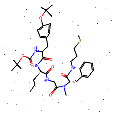 CCC[C@@H](NC(=O)[C@H](Cc1ccc(OC(C)(C)C)cc1)NC(=O)OC(C)(C)C)C(=O)NCC(=O)N(C)[C@@H](Cc1ccccc1)C(=O)NCCCSC